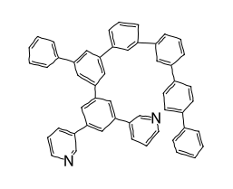 c1ccc(-c2ccc(-c3cccc(-c4cccc(-c5cc(-c6ccccc6)cc(-c6cc(-c7cccnc7)cc(-c7cccnc7)c6)c5)c4)c3)cc2)cc1